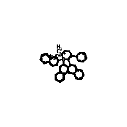 C[N+]1(C)CCC(c2ccccc2)=C(c2ccc3ccccc3c2)[B-]1(c1ccc2ccccc2c1)c1ccc2ccccc2c1